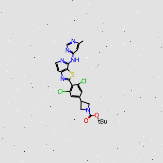 Cc1cc(Nc2nccc3nc(-c4c(Cl)cc(C5CN(C(=O)OC(C)(C)C)C5)cc4Cl)sc23)ncn1